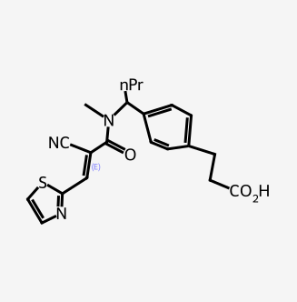 CCCC(c1ccc(CCC(=O)O)cc1)N(C)C(=O)/C(C#N)=C/c1nccs1